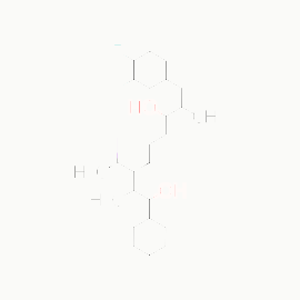 CC(CC1CCC(F)C(F)C1)C(O)CCC[C@@H](C(C)C(O)C1CCCCC1)[C@@H](C)I